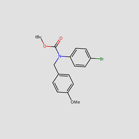 COc1ccc(CN(C(=O)OC(C)(C)C)c2ccc(Br)cc2)cc1